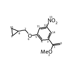 C=C(OC)c1cc(OCC2CC2)cc([N+](=O)[O-])c1